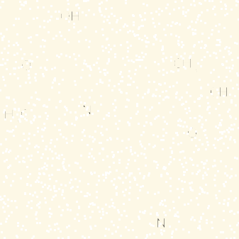 CCn1c(C(=O)O)cc2c1-c1ccncc1OC2(C)C